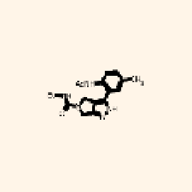 CCNC(=O)N1Cc2n[nH]c(-c3cc(C)ccc3NC(C)=O)c2C1